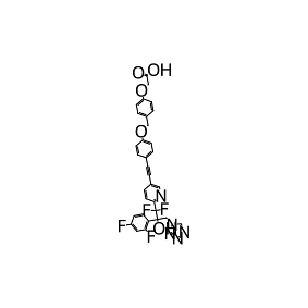 O=C(O)COc1ccc(COc2ccc(C#Cc3ccc(C(F)(F)C(O)(Cn4cnnn4)c4ccc(F)cc4F)nc3)cc2)cc1